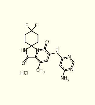 Cc1cc(Nc2cc(N)ncn2)c(=O)n2c1C(=O)NC21CCC(F)(F)CC1.Cl